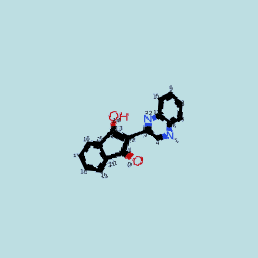 O=C1C(c2cnc3ccccc3n2)=C(O)c2ccccc21